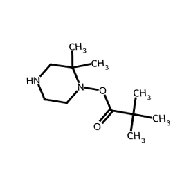 CC(C)(C)C(=O)ON1CCNCC1(C)C